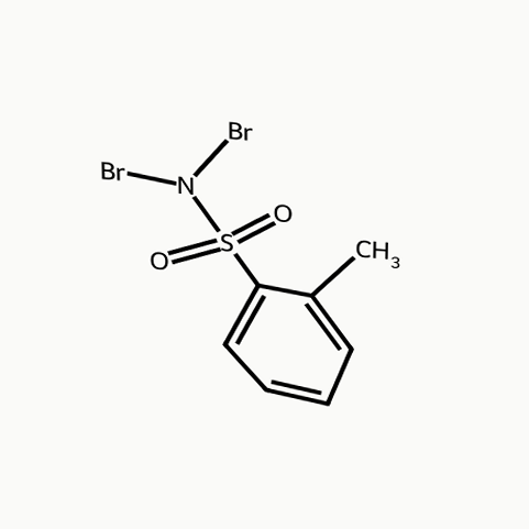 Cc1ccccc1S(=O)(=O)N(Br)Br